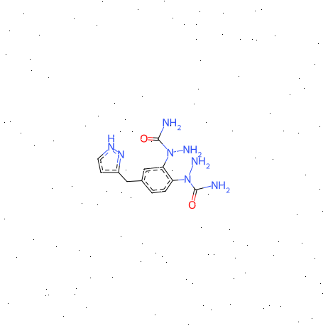 NC(=O)N(N)c1ccc(Cc2cc[nH]n2)cc1N(N)C(N)=O